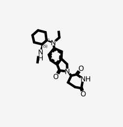 CCN[C@H]1CCCC[C@H]1N(CC)c1ccc2c(c1)CN(C1CCC(=O)NC1=O)C2=O